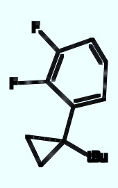 CC(C)(C)C1(c2cccc(F)c2F)CC1